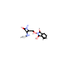 O=C(O)NC1C(=O)NC1CON1C(=O)c2ccccc2C1=O